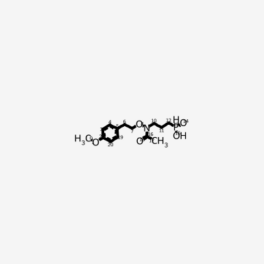 COc1ccc(CCON(CCC[PH](=O)O)C(C)=O)cc1